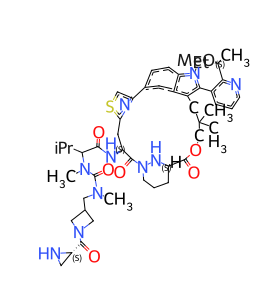 CCn1c(-c2cccnc2[C@H](C)OC)c2c3cc(ccc31)-c1csc(n1)C[C@H](NC(=O)C(C(C)C)N(C)C(=O)N(C)CC1CN(C(=O)[C@@H]3CN3)C1)C(=O)N1CCC[C@H](N1)C(=O)OCC(C)(C)C2